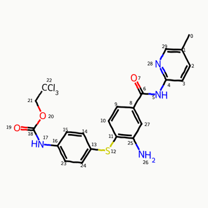 Cc1ccc(NC(=O)c2ccc(Sc3ccc(NC(=O)OCC(Cl)(Cl)Cl)cc3)c(N)c2)nc1